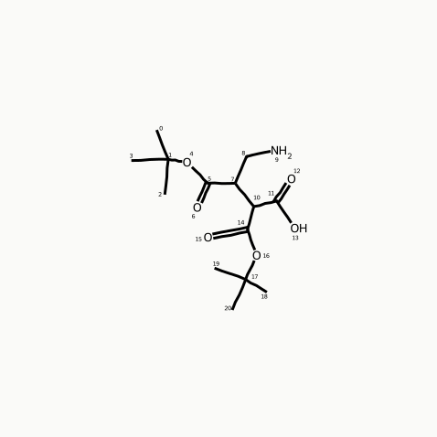 CC(C)(C)OC(=O)C(CN)C(C(=O)O)C(=O)OC(C)(C)C